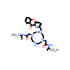 CC(NC(=O)CN1CCNCCN(CC(=O)NC(C)C(=O)O)CCN(Cc2ccc3oc4ccccc4c(=O)c3n2)CC1)C(=O)O